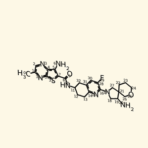 Cc1cnc2c(N)c(C(=O)NC3CCc4nc(N5CC(N)C6(CCCOC6)C5)c(F)cc4C3)sc2n1